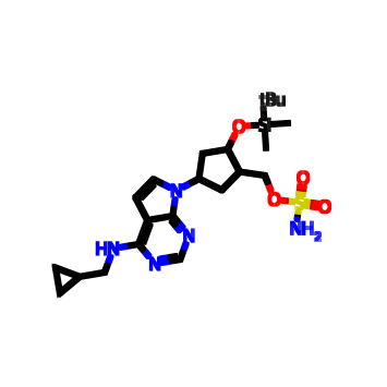 CC(C)(C)[Si](C)(C)OC1CC(n2ccc3c(NCC4CC4)ncnc32)CC1COS(N)(=O)=O